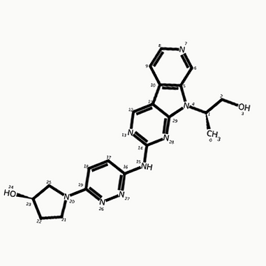 C[C@H](CO)n1c2cnccc2c2cnc(Nc3ccc(N4CC[C@@H](O)C4)nn3)nc21